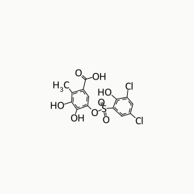 Cc1c(C(=O)O)cc(OS(=O)(=O)c2cc(Cl)cc(Cl)c2O)c(O)c1O